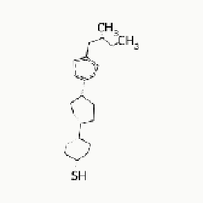 CC[C@@H](C)Cc1ccc([C@H]2CC[C@@H]([C@H]3CC[C@@H](S)CC3)CC2)cc1